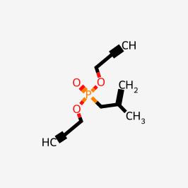 C#CCOP(=O)(CC(=C)C)OCC#C